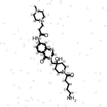 CN1CCN(CCC(=O)Nc2ccc3c(=O)n(CC4(O)CCN(C(=O)CCCCN)CC4)cnc3c2)CC1